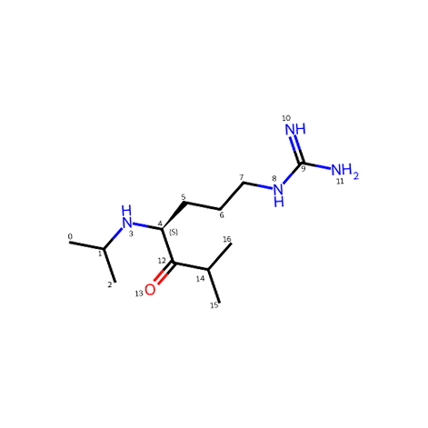 CC(C)N[C@@H](CCCNC(=N)N)C(=O)C(C)C